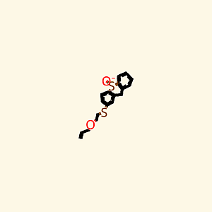 C=CCOCCSc1ccc2c(c1)Cc1ccccc1[S+]2[O-]